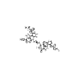 CC(=O)Oc1ccccc1C1CCC(C(=O)O)N1C(=O)CCSSCCC(=O)N1C(C(=O)O)CCC1c1ccccc1OC(C)=O